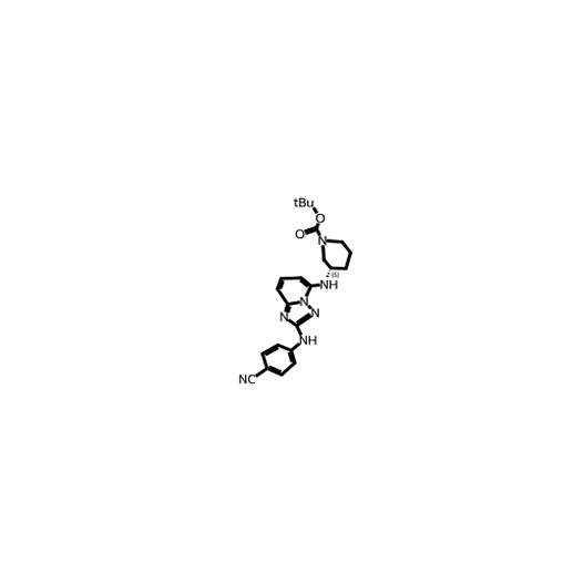 CC(C)(C)OC(=O)N1CCC[C@H](Nc2cccc3nc(Nc4ccc(C#N)cc4)nn23)C1